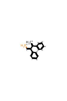 C=C(C(=CP)c1ccccc1)c1ccccc1